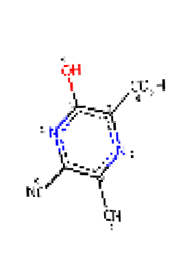 N#Cc1nc(O)c(C(=O)O)nc1C#N